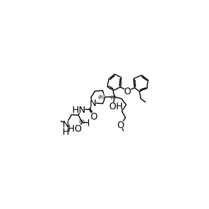 CCc1ccccc1Oc1ccccc1[C@](O)(CCCCOC)[C@@H]1CCCN(C(=O)NC(CNC)[C@H](O)I)C1